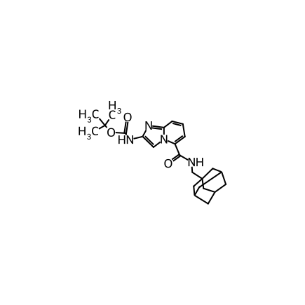 CC(C)(C)OC(=O)Nc1cn2c(C(=O)NCC34CC5CC(CC(C5)C3)C4)cccc2n1